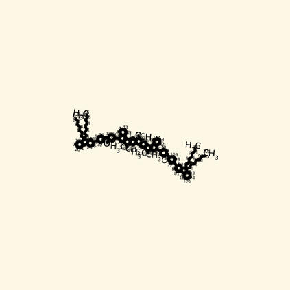 CCCCCCCCC1(CCCCCCCC)c2ccccc2-c2ccc(-c3ccc4c(c3)oc3cc(-c5cc6c(c7ccccc57)-c5cc7c(cc5C6(C)C)-c5cc6c(cc5C7(C)C)-c5c(cc(-c7ccc8c(c7)oc7cc(-c9ccc%10c(c9)C(CCCCCCCC)(CCCCCCCC)c9ccccc9-%10)ccc78)c7ccccc57)C6(C)C)ccc34)cc21